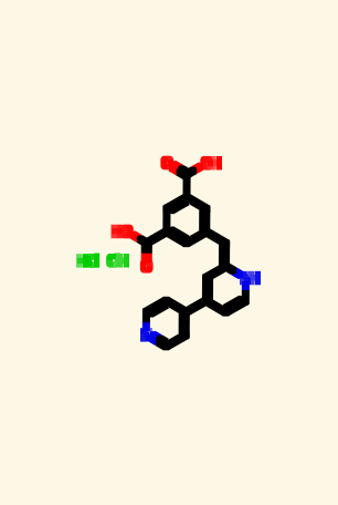 Cl.Cl.O=C(O)c1cc(C=C2C=C(c3ccncc3)C=CN2)cc(C(=O)O)c1